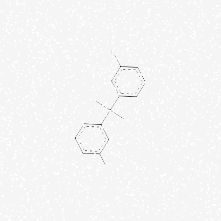 CC(C)(c1cccc(F)c1)c1cccc(F)c1